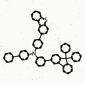 c1ccc(-c2ccc(N(c3ccc(-c4ccc5sc6ccccc6c5c4)cc3)c3cccc(-c4ccc5c(c4)-c4ccccc4C5(c4ccccc4)c4ccccc4)c3)cc2)cc1